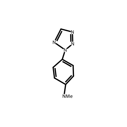 CNc1ccc(-n2ncnn2)cc1